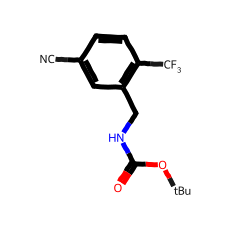 CC(C)(C)OC(=O)NCc1cc(C#N)ccc1C(F)(F)F